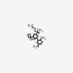 CCOCC(C)(F)c1cc(-c2cc(N)cnc2C)cc(C2(O)COC2)c1